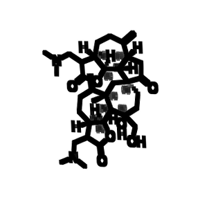 C=C1CC[C@H]2C(CN(C)C)C(=O)O[C@@H]2[C@@H]2[C@H]1CC(=O)[C@]21CC[C@@](O)(CO)[C@@H]2[C@H]3OC(=O)C(CN(C)C)[C@@H]3CCC(=C)[C@]2(C)C1